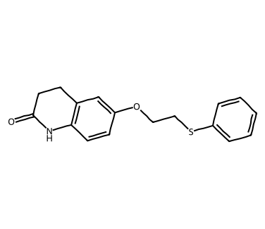 O=C1CCc2cc(OCCSc3ccccc3)ccc2N1